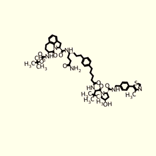 Cc1ncsc1-c1ccc(CNC(=O)[C@@H]2C[C@@H](O)CN2C(=O)[C@@H](NC(=O)CCCCc2ccc(CCC[C@H](CCC(N)=O)NC(=O)[C@@H]3Cc4cccc5c4N3C(=O)[C@@H](NC(=O)OC(C)(C)C)CC5)cc2)C(C)(C)C)cc1